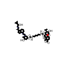 C=C1/C(=C\C=C2/CCC[C@@]3(C)C2CCC3[C@@H](C)/C=C/C(O)C2CC2)C[C@@H](OC(=O)NCCCCCCNC(=O)O[C@@H]2[C@H](C(C)C)[C@@H](O)[C@@H]3O[C@@]34[C@@]3(C)CCC5=C(COC5=O)[C@@H]3[C@H]3C[C@@]24O3)C[C@@H]1O